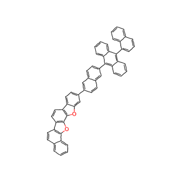 c1ccc2c(-c3c4ccccc4c(-c4ccc5cc(-c6ccc7c(c6)oc6c7ccc7c8ccc9ccccc9c8oc76)ccc5c4)c4ccccc34)cccc2c1